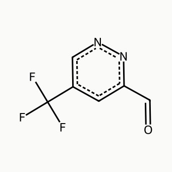 O=Cc1cc(C(F)(F)F)cnn1